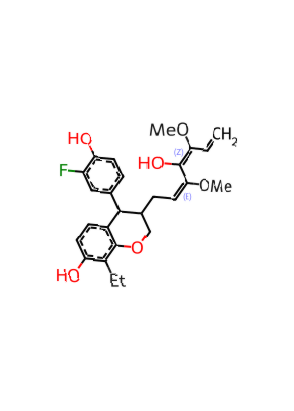 C=C/C(OC)=C(O)\C(=C/CC1COc2c(ccc(O)c2CC)C1c1ccc(O)c(F)c1)OC